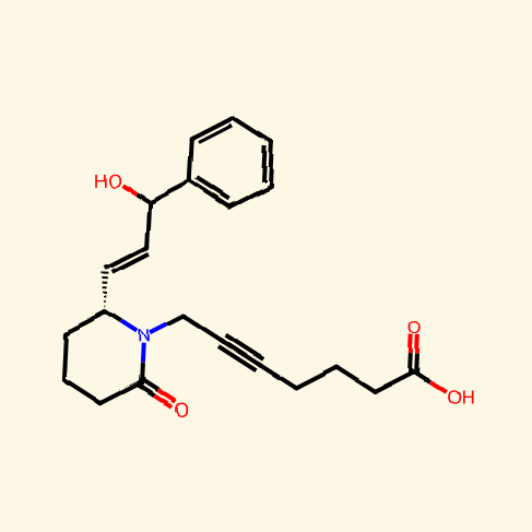 O=C(O)CCCC#CCN1C(=O)CCC[C@@H]1/C=C/C(O)c1ccccc1